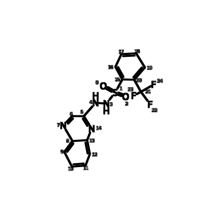 O=S(=O)(NNc1cnc2ccccc2n1)c1ccccc1C(F)(F)F